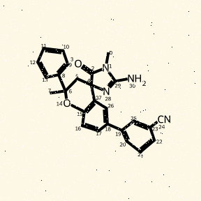 CN1C(=O)C2(CC(C)(c3ccccc3)Oc3ccc(-c4cccc(C#N)c4)cc32)N=C1N